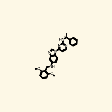 COc1cccc(OC)c1CNc1ccc2c(c1)ncn2-c1ccnc(N[C@@H](C)c2ccccc2)n1